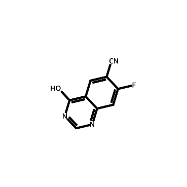 N#Cc1cc2c(O)ncnc2cc1F